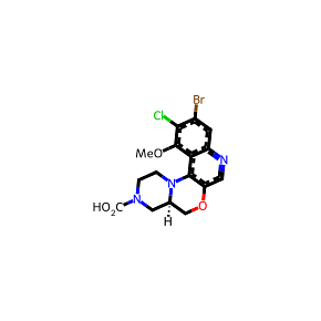 COc1c(Cl)c(Br)cc2ncc3c(c12)N1CCN(C(=O)O)C[C@@H]1CO3